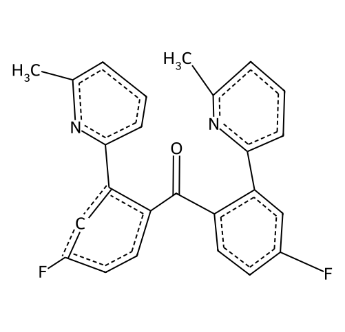 Cc1cccc(-c2cc(F)ccc2C(=O)c2ccc(F)cc2-c2cccc(C)n2)n1